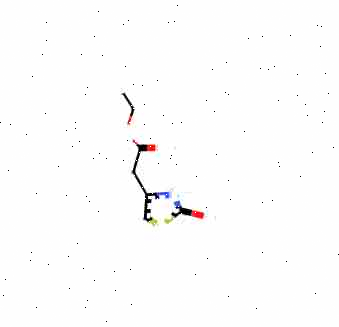 CCOC(=O)Cc1csc(=O)[nH]1